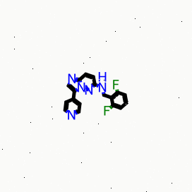 Fc1cccc(F)c1CNc1ccc2ncc(-c3ccncc3)n2n1